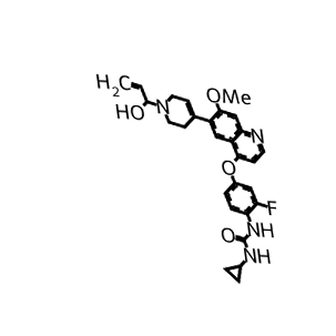 C=CC(O)N1CC=C(c2cc3c(Oc4ccc(NC(=O)NC5CC5)c(F)c4)ccnc3cc2OC)CC1